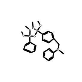 CO[Si](OC)(O[Si](OC)(OC)c1ccc(CN(C)c2ccccc2)cc1)c1ccccc1